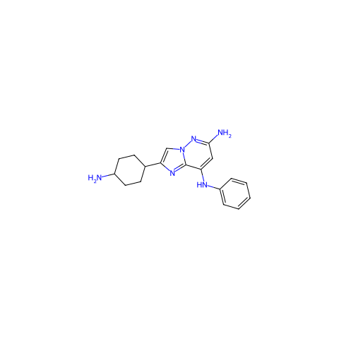 Nc1cc(Nc2ccccc2)c2nc(C3CCC(N)CC3)cn2n1